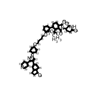 CC(C)(C)c1c(-c2cccc(OCCCCOc3ccc(-n4cc(-c5ccc6c(c5)CCC6=O)c(-c5ccncc5)n4)cc3)c2)ccc2c1C(=O)N(C1CCC(=O)NC1=O)C2=O